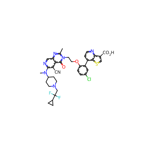 Cc1nc2cnc(N(C)C3CCN(CC(F)(F)C4CC4)CC3)c(C#N)c2c(=O)n1CCOc1ccc(Cl)cc1-c1ccnc2c(C(=O)O)csc12